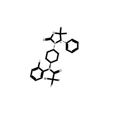 CC1(C)OC(=O)N([C@H]2CC[C@H](N(C(=O)C(F)(F)Br)c3ccccc3I)CC2)[C@H]1c1ccccc1